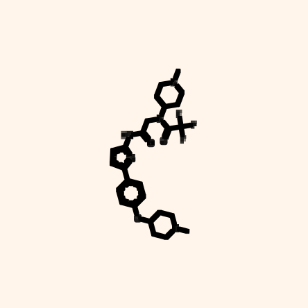 CN1CCC(Oc2ccc(-c3ccc(NC(=O)CN(C(=O)C(F)(F)F)C4CCN(C)CC4)s3)cc2)CC1